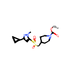 Cn1nc(C2CC2)cc1S(=O)(=O)CC1CCN(C(=O)OC(C)(C)C)CC1